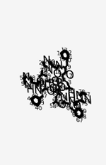 CC(C)C[C@H](CC(=O)[C@H](Cc1ccccc1)NC(=O)c1cnccn1)B1OB([C@H](CC(C)C)NC(=O)[C@H](Cc2ccccc2)NC(=O)c2cnccn2)OB([C@H](CC(C)C)NC(=O)[C@H](Cc2ccccc2)NC(=O)c2cnccn2)O1